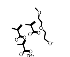 C=C(C)C(=O)[O-].C=C(C)C(=O)[O-].C=C(C)C(=O)[O-].COCCOCC[O-].[Ti+4]